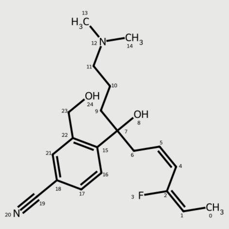 C/C=C(F)\C=C/CC(O)(CCCN(C)C)c1ccc(C#N)cc1CO